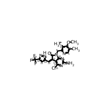 COc1c(C)cnc(CN2C(=O)/C(=C\c3cc(C(F)(F)F)n[nH]3)c3c(Cl)nc(N)nc32)c1C